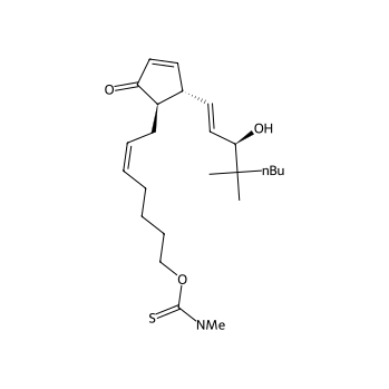 CCCCC(C)(C)[C@H](O)/C=C/[C@H]1C=CC(=O)[C@@H]1C/C=C\CCCCOC(=S)NC